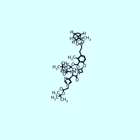 Cc1c(CCB2O[C@@H]3C[C@@H]4C[C@@H](C4(C)C)[C@]3(C)O2)ccc(OC2CN(C(=O)C(NC(=O)OC(C)(C)C)c3cn(CC(=O)OC(C)(C)C)cn3)C2)c1C(=O)OC(C)(C)C